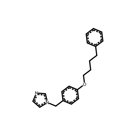 c1ccc(CCCCOc2ccc(Cn3ccnc3)cc2)cc1